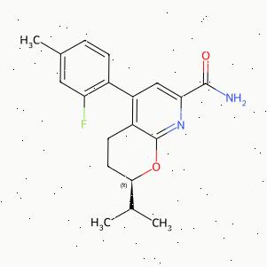 Cc1ccc(-c2cc(C(N)=O)nc3c2CC[C@H](C(C)C)O3)c(F)c1